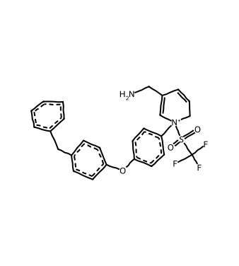 NCC1=C[N+](c2ccc(Oc3ccc(Cc4ccccc4)cc3)cc2)(S(=O)(=O)C(F)(F)F)CC=C1